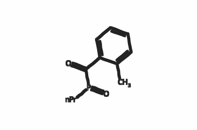 CCC[P](=O)C(=O)c1ccccc1C